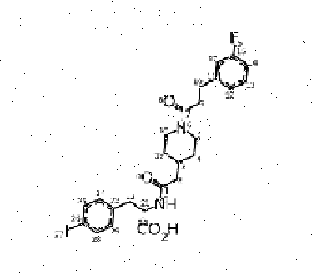 O=C(CC1CCN(C(=O)CCc2cccc(F)c2)CC1)N[C@@H](Cc1ccc(I)cc1)C(=O)O